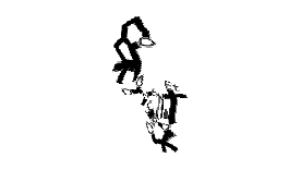 CCC(C)(C)N(SN(C)C(=O)OC1=C2OC=CC=C2CC1(C)C)P1(=S)OCC(C)(C)CO1